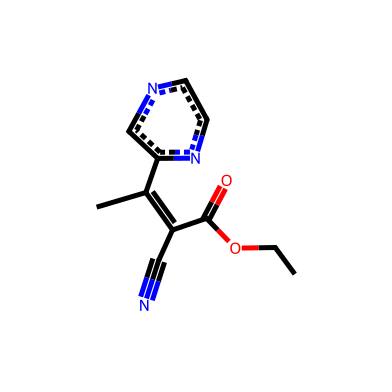 CCOC(=O)C(C#N)=C(C)c1cnccn1